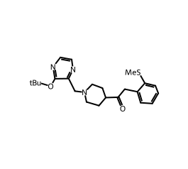 CSc1ccccc1CC(=O)C1CCN(Cc2nccnc2OC(C)(C)C)CC1